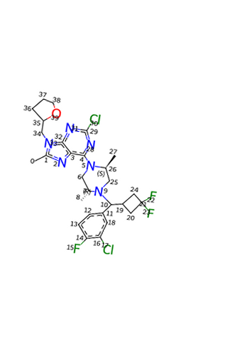 Cc1nc2c(N3C[C@@H](C)N(C(c4ccc(F)c(Cl)c4)C4CC(F)(F)C4)C[C@@H]3C)nc(Cl)nc2n1CC1CCCO1